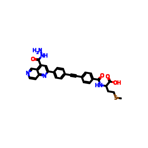 CSCCC(NC(=O)c1ccc(C#Cc2ccc(-c3cc(C(=O)NN)c4cnccc4n3)cc2)cc1)C(=O)O